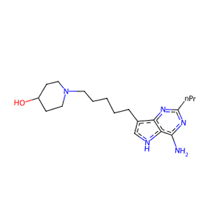 CCCc1nc(N)c2[nH]cc(CCCCCN3CCC(O)CC3)c2n1